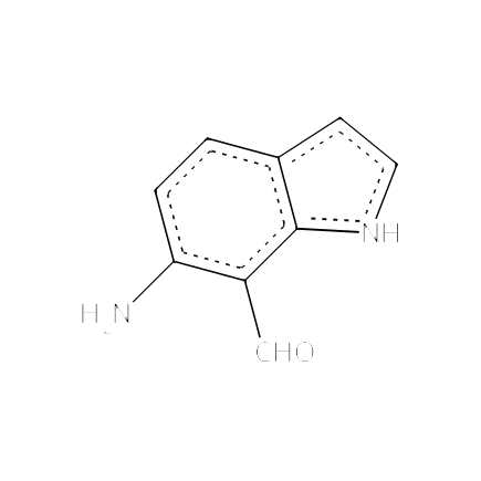 Nc1ccc2cc[nH]c2c1C=O